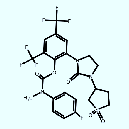 CN(C(=O)Oc1c(N2CCN(C3CCS(=O)(=O)C3)C2=O)cc(C(F)(F)F)cc1C(F)(F)F)c1ccc(F)cc1